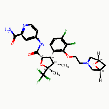 C[C@H]1[C@@H](c2ccc(F)c(F)c2OCCN2C[C@H]3C[C@@H](C2)O3)[C@H](C(=O)Nc2ccnc(C(N)=O)c2)O[C@@]1(C)C(F)(F)F